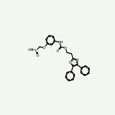 O=C(Nc1cccc(OC[13C](=O)O)c1)OCCc1nc(-c2ccccc2)c(-c2ccccc2)o1